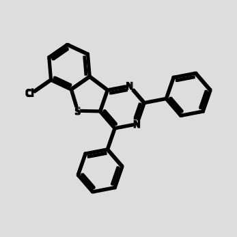 Clc1cccc2c1sc1c(-c3ccccc3)nc(-c3ccccc3)nc12